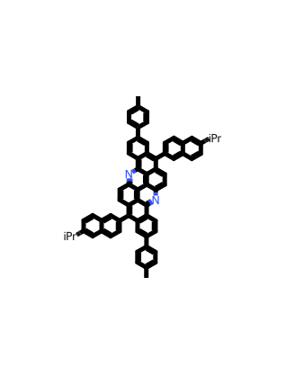 Cc1ccc(-c2ccc3c(c2)c(-c2ccc4cc(C(C)C)ccc4c2)c2ccc4nc5c6ccc(-c7ccc(C)cc7)cc6c(-c6ccc7cc(C(C)C)ccc7c6)c6ccc7nc3c2c4c7c65)cc1